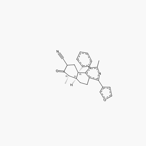 Cc1nc(-c2ccoc2)c2c(n1)[C@]1(c3ccccc3)CC(C#N)C(=O)[C@@H](C)[C@@H]1CC2